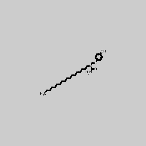 CCCCCCCCCCCCCCCCCCN(CSc1ccc(O)cc1)C(N)=O